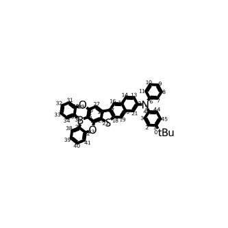 CC(C)(C)c1ccc(N(c2ccccc2)c2ccc3cc4c(cc3c2)sc2c3c5c(cc24)Oc2ccccc2B5c2ccccc2O3)cc1